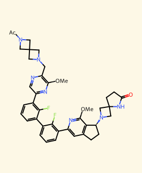 COc1nc(-c2cccc(-c3cccc(-c4cc5c(c(OC)n4)[C@@H](N4CC6(CCC(=O)N6)C4)CC5)c3F)c2F)cnc1CN1CC2(C1)CN(C(C)=O)C2